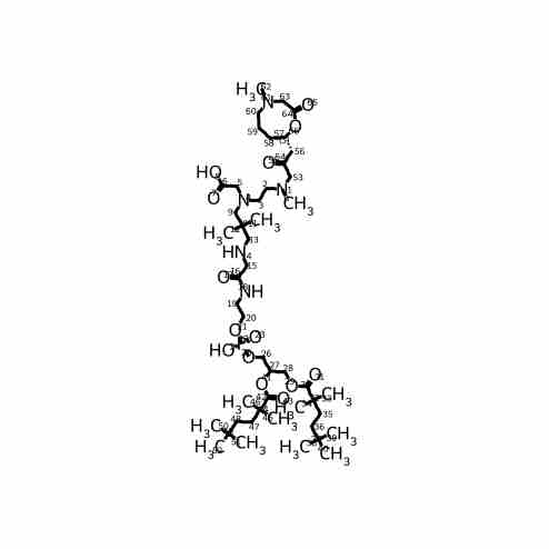 CN(CCN(CC(=O)O)CC(C)(C)CNCC(=O)NCCOP(=O)(O)OCC(COC(=O)C(C)(C)CCC(C)(C)C)OC(=O)C(C)(C)CCC(C)(C)C)CC(=O)C[C@@H]1CCCN(C)CC(=O)O1